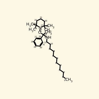 CCCCCCCCCCCCNC(C)(ON1C(C)(C)CCCC1(C)C)c1ccccc1